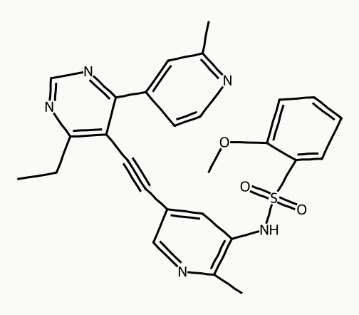 CCc1ncnc(-c2ccnc(C)c2)c1C#Cc1cnc(C)c(NS(=O)(=O)c2ccccc2OC)c1